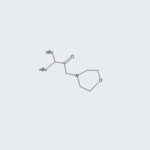 CCCCC(CCCC)C(=O)CN1CCOCC1